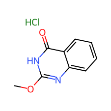 COc1nc2ccccc2c(=O)[nH]1.Cl